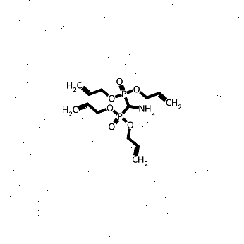 C=CCOP(=O)(OCC=C)C(N)P(=O)(OCC=C)OCC=C